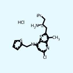 Cc1c(C[C@@H](N)CC(C)C)sc2c(NCc3cccs3)cc(Cl)nc12.Cl